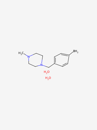 Bc1ccc(CN2CCN(C)CC2)cc1.O.O